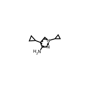 Nc1nn(C2CC2)cc1C1CC1